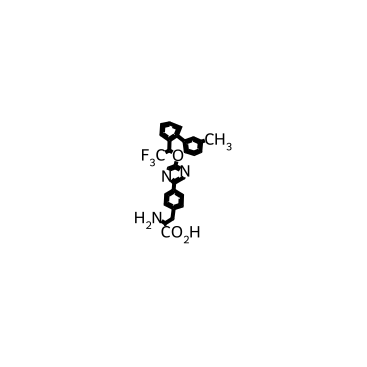 Cc1cccc(-c2ccccc2C(Oc2cnc(-c3ccc(C[C@H](N)C(=O)O)cc3)cn2)C(F)(F)F)c1